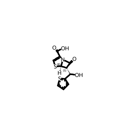 O=C(O)C1=CS[C@@H]2[C@@H](C(O)c3cccs3)C(=O)N12